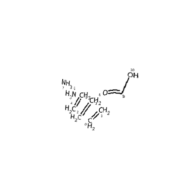 C=C.C=C.C=C.N.N.O=CO